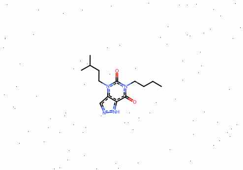 CCCCn1c(=O)c2[nH]ncc2n(CCC(C)C)c1=O